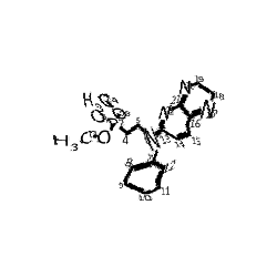 COP(=O)(CCN(c1ccccc1)c1ccc2nccnc2n1)OC